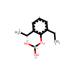 CCc1cccc(CC)c1OB(O)O